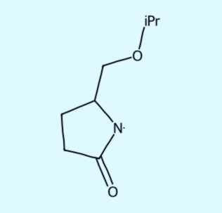 CC(C)OCC1CCC(=O)[N]1